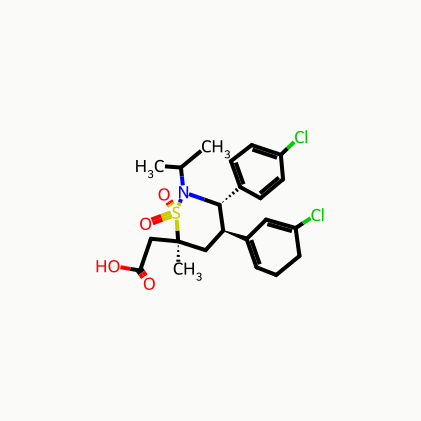 CC(C)N1[C@H](c2ccc(Cl)cc2)[C@@H](C2=CCCC(Cl)=C2)C[C@@](C)(CC(=O)O)S1(=O)=O